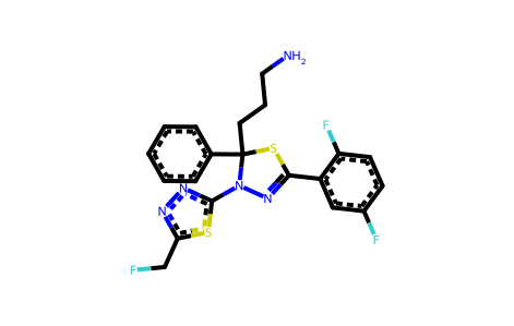 NCCCC1(c2ccccc2)SC(c2cc(F)ccc2F)=NN1c1nnc(CF)s1